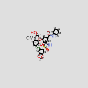 COc1ccc(Cl)c(Oc2c(NS(=O)(=O)c3ccc4c(c3)OCO4)cc(C(=O)Nc3ccccc3)cc2OCCO)c1